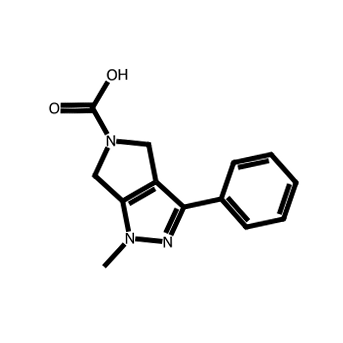 Cn1nc(-c2ccccc2)c2c1CN(C(=O)O)C2